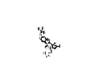 CCSc1cc(I)sc1-c1nc2cc(SC(F)(F)F)ncc2n1C